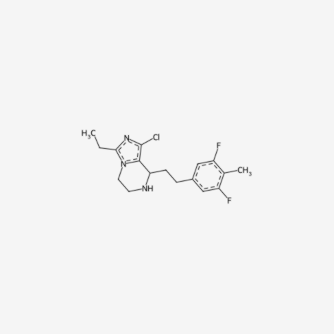 CCc1nc(Cl)c2n1CCNC2CCc1cc(F)c(C)c(F)c1